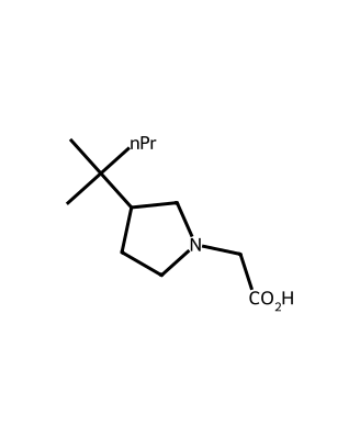 CCCC(C)(C)C1CCN(CC(=O)O)C1